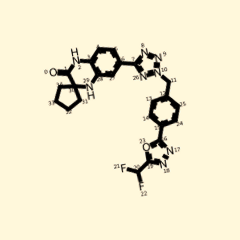 O=C1Nc2ccc(-c3nnn(Cc4ccc(-c5nnc(C(F)F)o5)cc4)n3)cc2NC12CCCC2